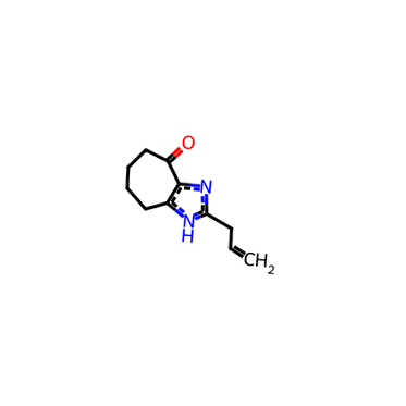 C=CCc1nc2c([nH]1)CCCCC2=O